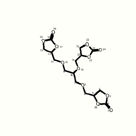 O=C1OCC(COCC(COCC2COC(=O)O2)OCC2COC(=O)O2)O1